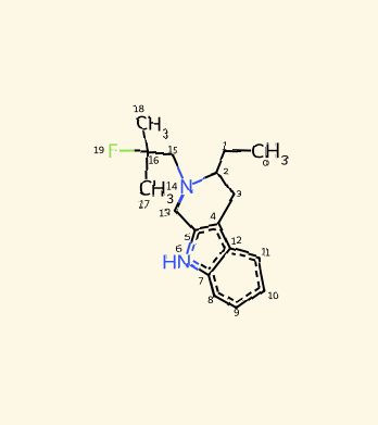 CCC1Cc2c([nH]c3ccccc23)CN1CC(C)(C)F